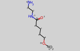 NCCNC(=O)CCCCO[N+](=O)[O-]